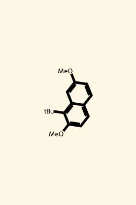 COc1ccc2ccc(OC)c(C(C)(C)C)c2c1